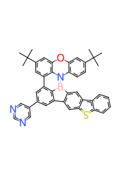 CC(C)(C)c1ccc2c(c1)Oc1cc(C(C)(C)C)cc3c1N2B1c2cc4c(cc2-c2cc(-c5cncnc5)cc-3c21)sc1ccccc14